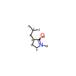 CC(C)CC1CCN(C)C1=O